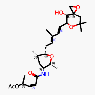 CC(=O)O[C@@H](C)/C=C\C(=O)N[C@@H]1C[C@H](C)[C@H](C/C=C(C)/C=C/C2OC(C)(C)C[C@]3(CO3)[C@H]2O)O[C@@H]1C